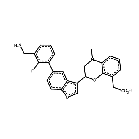 CN1CC(c2coc3ccc(-c4cccc(CN)c4F)cc23)Oc2c(CC(=O)O)cccc21